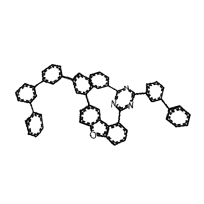 c1ccc(-c2cccc(-c3cccc(-c4cccc(-c5ccc6oc7cccc(-c8nc(-c9ccccc9)nc(-c9cccc(-c%10ccccc%10)c9)n8)c7c6c5)c4)c3)c2)cc1